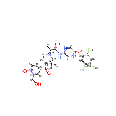 C[C@@H](C(=O)Nc1cnc(Oc2cc(F)c(F)cc2F)cn1)N1CCN(C(=O)c2cc[n+]([O-])c(CO)c2)C(C)(C)C1